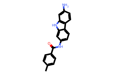 Cc1ccc(C(=O)Nc2ccc3c(c2)[nH]c2cc(N)ccc23)cc1